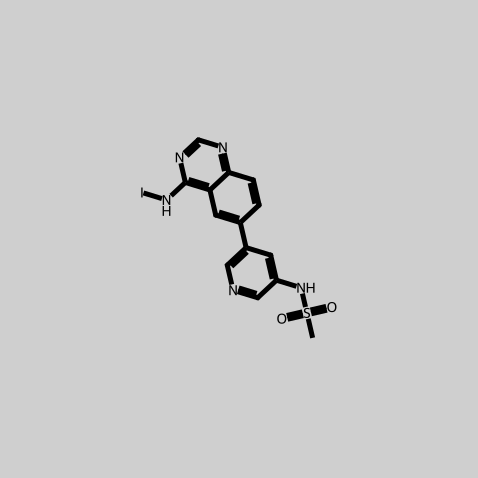 CS(=O)(=O)Nc1cncc(-c2ccc3ncnc(NI)c3c2)c1